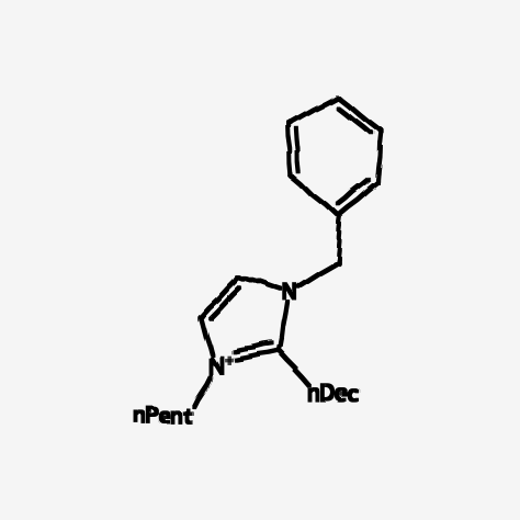 CCCCCCCCCCc1n(Cc2ccccc2)cc[n+]1CCCCC